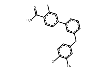 Cc1cc(-c2cc(Oc3ccc(Cl)c(C#N)c3)ccn2)ccc1C(N)=O